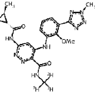 [2H]C([2H])([2H])NC(=O)c1nnc(NC(=O)[C@@H]2C[C@H]2C)cc1Nc1cccc(-c2nnn(C)n2)c1OC